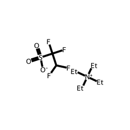 CC[N+](CC)(CC)CC.O=S(=O)([O-])C(F)(F)C(F)F